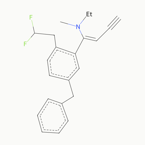 C#C/C=C(/c1cc(Cc2ccccc2)ccc1CC(F)F)N(C)CC